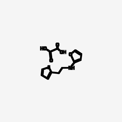 O=C(O)C(=O)O.c1coc(NCCc2cccs2)c1